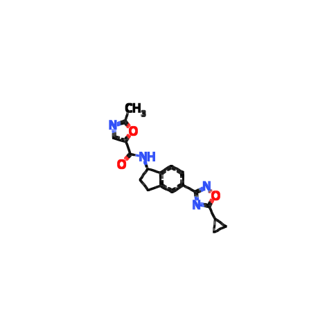 Cc1ncc(C(=O)N[C@@H]2CCc3cc(-c4noc(C5CC5)n4)ccc32)o1